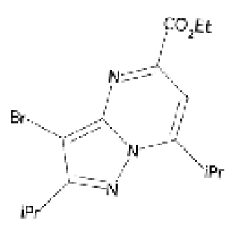 CCOC(=O)c1cc(C(C)C)n2nc(C(C)C)c(Br)c2n1